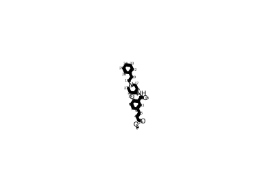 COC(=O)C=Cc1ccc2c(c1)C(=O)NC1(CCN(CCc3ccccc3)CC1)O2